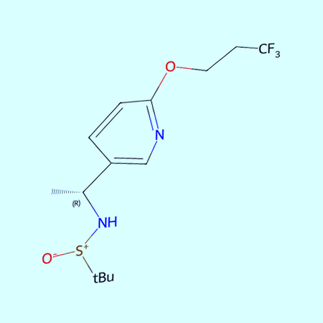 C[C@@H](N[S+]([O-])C(C)(C)C)c1ccc(OCCC(F)(F)F)nc1